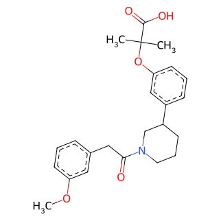 COc1cccc(CC(=O)N2CCCC(c3cccc(OC(C)(C)C(=O)O)c3)C2)c1